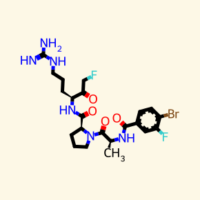 C[C@H](NC(=O)c1ccc(Br)c(F)c1)C(=O)N1CCC[C@H]1C(=O)N[C@@H](CCCNC(=N)N)C(=O)CF